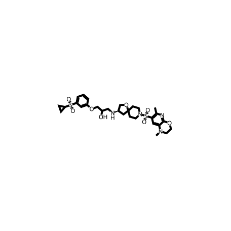 Cc1nc2c(cc1S(=O)(=O)N1CCC3(CC1)C[C@@H](NCC(O)COc1cccc(S(=O)(=O)C4CC4)c1)CO3)N(C)CCO2